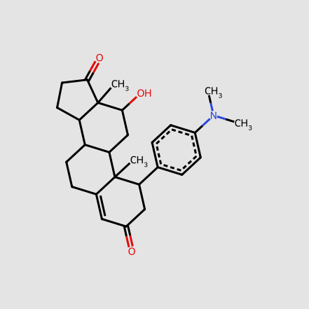 CN(C)c1ccc(C2CC(=O)C=C3CCC4C5CCC(=O)C5(C)C(O)CC4C32C)cc1